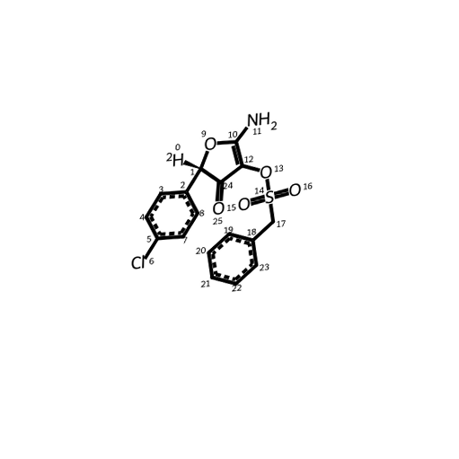 [2H][C@@]1(c2ccc(Cl)cc2)OC(N)=C(OS(=O)(=O)Cc2ccccc2)C1=O